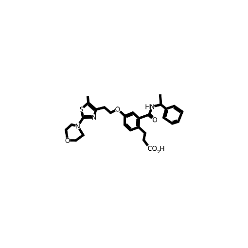 Cc1sc(N2CCOCC2)nc1CCOc1ccc(CCC(=O)O)c(C(=O)NC(C)c2ccccc2)c1